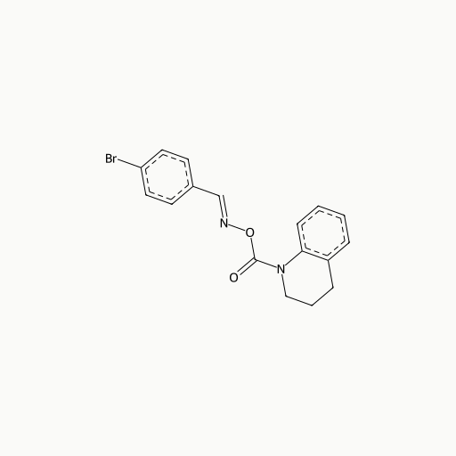 O=C(ON=Cc1ccc(Br)cc1)N1CCCc2ccccc21